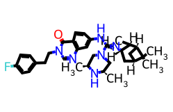 C[C@@H]1[C@@H](/N=C(/Nc2ccc3c(=O)n(CCc4ccc(F)cc4)cnc3c2)N2C[C@H](C)N[C@@H](C)C2)C[C@H]2C[C@@H]1C2(C)C